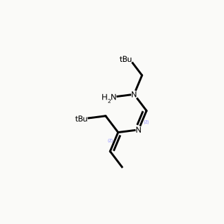 C/C=C(CC(C)(C)C)\N=C/N(N)CC(C)(C)C